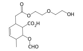 CC1C=CC(CC(=O)OCCOCCO)C(C(=O)O)C1OC=O